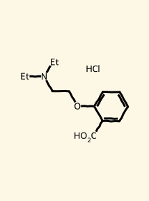 CCN(CC)CCOc1ccccc1C(=O)O.Cl